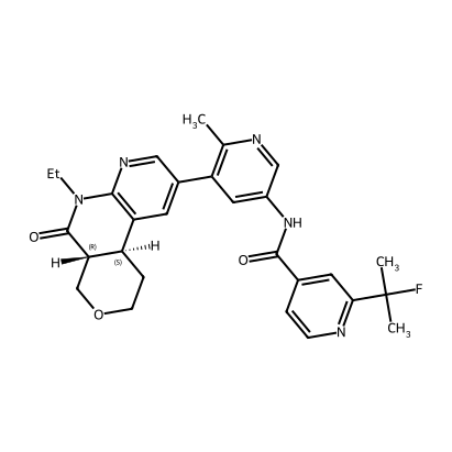 CCN1C(=O)[C@H]2COCC[C@@H]2c2cc(-c3cc(NC(=O)c4ccnc(C(C)(C)F)c4)cnc3C)cnc21